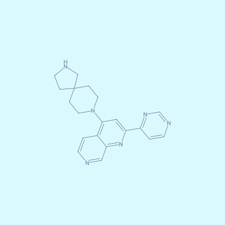 c1cc(-c2cc(N3CCC4(CCNC4)CC3)c3ccncc3n2)ncn1